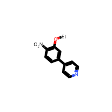 CCOc1cc(-c2ccncc2)ccc1[N+](=O)[O-]